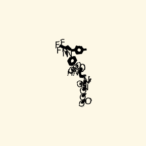 COC(=O)OCO/N=[N+](\[O-])N(C)CCC(=O)NS(=O)(=O)c1ccc(-n2nc(C(F)(F)F)cc2-c2ccc(C)cc2)cc1